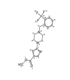 COC(=O)c1cnc(N2CCN(Cc3ccccc3C(F)(F)F)CC2)s1